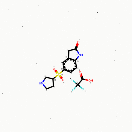 O=C(O)C(F)(F)F.O=C1Cc2cc(S(=O)(=O)C3CCNC3)ccc2N1